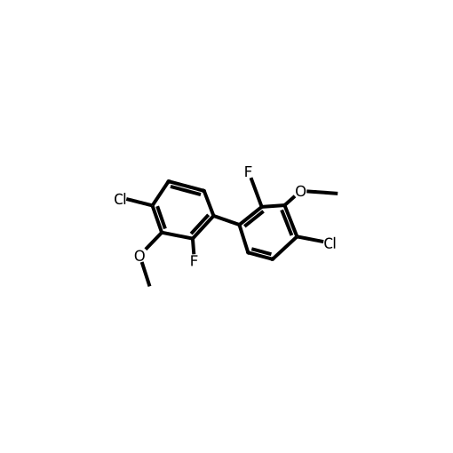 COc1c(Cl)ccc(-c2ccc(Cl)c(OC)c2F)c1F